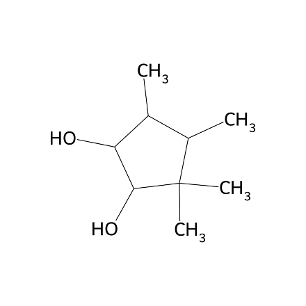 CC1C(O)C(O)C(C)(C)C1C